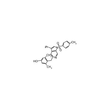 Cc1ccc(S(=O)(=O)n2cc(C(C)C)c3cc(Cc4c(C)cc(O)cc4C)ncc32)cc1